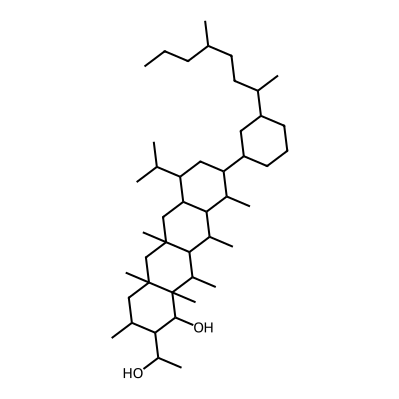 CCCC(C)CCC(C)C1CCCC(C2CC(C(C)C)C3CC4(C)CC5(C)CC(C)C(C(C)O)C(O)C5(C)C(C)C4C(C)C3C2C)C1